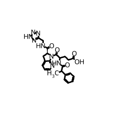 CC(C(=O)NC(CCC(=O)O)C(=O)N1c2ncccc2C[C@H]1C(=O)NCc1nn[nH]n1)c1ccccc1